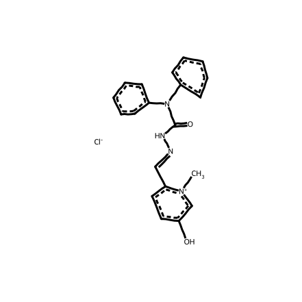 C[n+]1cc(O)ccc1C=NNC(=O)N(c1ccccc1)c1ccccc1.[Cl-]